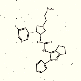 COCCN1C[C@@H](NC(=O)Nc2c3c(nn2-c2ccccc2)CCC3)[C@H](c2cncc(F)c2)C1